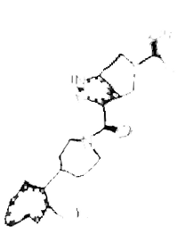 CCC(O)N1Cc2[nH]nc(C(=O)N3CCC(c4ccccc4C(F)(F)F)CC3)c2C1